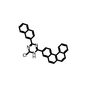 ClC1N=C(c2ccc3ccccc3c2)N=C(c2ccc3c(ccc4ccc5ccccc5c43)c2)N1